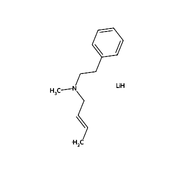 [CH2]C=CCN(C)CCc1ccccc1.[LiH]